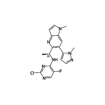 C[C@H](Nc1nc(Cl)ncc1F)c1nc2ccn(C)c2cc1-c1ccnn1C